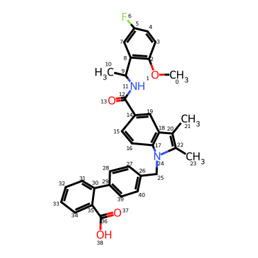 COc1ccc(F)cc1C(C)NC(=O)c1ccc2c(c1)c(C)c(C)n2Cc1ccc(-c2ccccc2C(=O)O)cc1